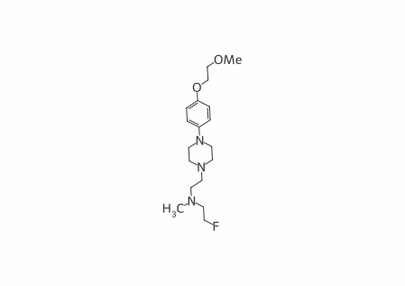 COCCOc1ccc(N2CCN(CCN(C)CCF)CC2)cc1